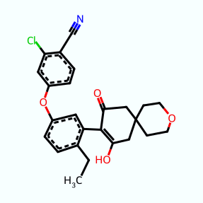 CCc1ccc(Oc2ccc(C#N)c(Cl)c2)cc1C1=C(O)CC2(CCOCC2)CC1=O